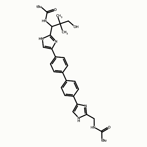 CC(C)(C)C(=O)NCc1nc(-c2ccc(-c3ccc(-c4c[nH]c(C(NC(=O)C(C)(C)C)C(C)(C)CO)n4)cc3)cc2)c[nH]1